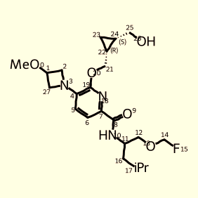 COC1CN(c2ccc(C(=O)NC(COCF)CC(C)C)nc2OC[C@@H]2C[C@@H]2CO)C1